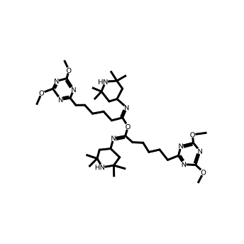 COc1nc(CCCCCC(=NC2CC(C)(C)NC(C)(C)C2)OC(CCCCCc2nc(OC)nc(OC)n2)=NC2CC(C)(C)NC(C)(C)C2)nc(OC)n1